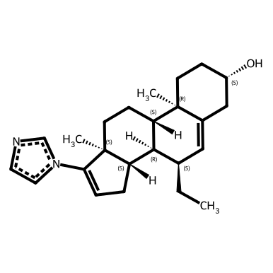 CC[C@@H]1C=C2C[C@@H](O)CC[C@]2(C)[C@H]2CC[C@]3(C)C(n4ccnc4)=CC[C@H]3[C@H]12